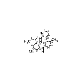 CCCCNc1ncccc1-c1nc(Nc2cccc(Cl)c2)ncc1C